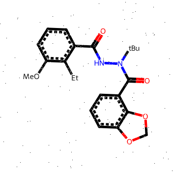 CCc1c(OC)cccc1C(=O)NN(C(=O)c1cccc2c1OCO2)C(C)(C)C